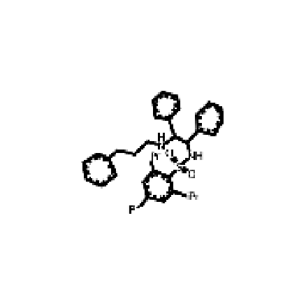 CC(C)c1cc(C(C)C)c(S(=O)(=O)NC(c2ccccc2)C(NCCCc2ccccc2)c2ccccc2)c(C(C)C)c1